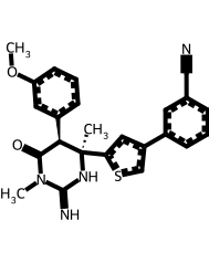 COc1cccc([C@@H]2C(=O)N(C)C(=N)N[C@]2(C)c2cc(-c3cccc(C#N)c3)cs2)c1